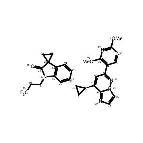 COc1ncc(-c2cc([C@H]3C[C@@H]3c3ccc4c(c3)N(CCC(F)(F)F)C(=O)C43CC3)c3nccn3n2)c(OC)n1